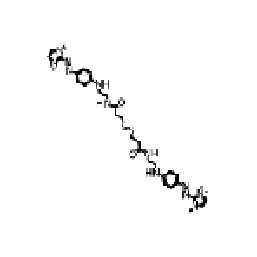 Cn1cc[n+](C)c1/N=N/c1ccc(NCCNC(=O)CCSSCCC(=O)NCCNc2ccc(/N=N/c3n(C)cc[n+]3C)cc2)cc1